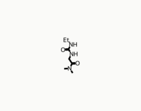 CCNC(=O)NCC(=O)N(C)C